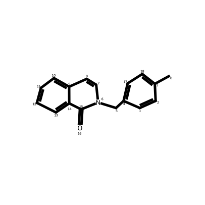 Cc1ccc(Cn2ccc3ccccc3c2=O)cc1